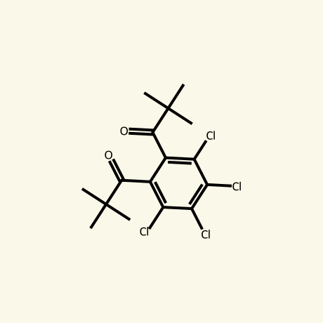 CC(C)(C)C(=O)c1c(Cl)c(Cl)c(Cl)c(Cl)c1C(=O)C(C)(C)C